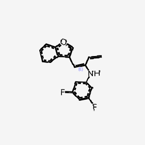 C=C/C(=C\c1coc2ccccc12)Nc1cc(F)cc(F)c1